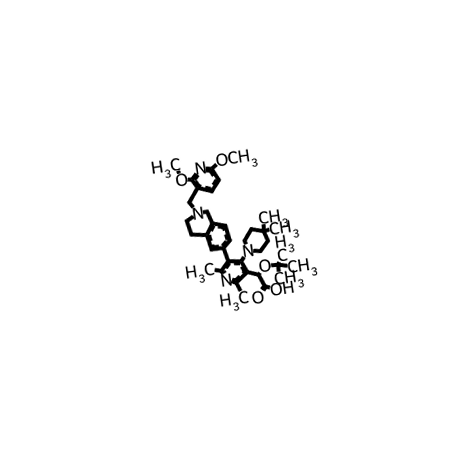 COc1ccc(CN2CCc3cc(-c4c(C)nc(C)c(C(OC(C)(C)C)C(=O)O)c4N4CCC(C)(C)CC4)ccc3C2)c(OC)n1